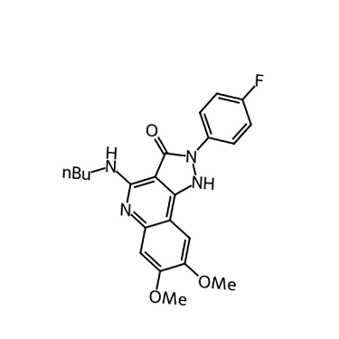 CCCCNc1nc2cc(OC)c(OC)cc2c2[nH]n(-c3ccc(F)cc3)c(=O)c12